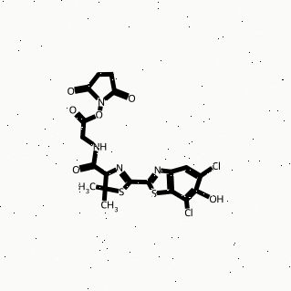 CC1(C)SC(c2nc3cc(Cl)c(O)c(Cl)c3s2)=NC1C(=O)NCC(=O)ON1C(=O)CCC1=O